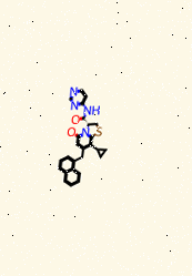 O=C(Nc1ccncn1)[C@@H]1CSc2c(C3CC3)c(Cc3cccc4ccccc34)cc(=O)n21